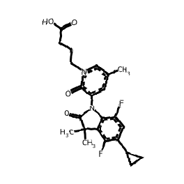 Cc1cc(N2C(=O)C(C)(C)c3c(F)c(C4CC4)cc(F)c32)c(=O)n(CCCC(=O)O)c1